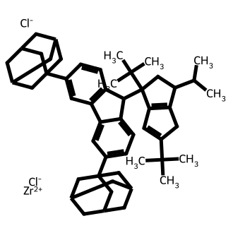 CC(C)C1CC(C2c3ccc(C45CC6CC(CC(C6)C4)C5)cc3-c3cc(C45CC6CC(CC(C6)C4)C5)ccc32)(C(C)(C)C)C2=C1CC(C(C)(C)C)=C2.[Cl-].[Cl-].[Zr+2]